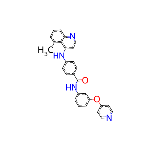 Cc1cccc2nccc(Nc3ccc(C(=O)Nc4cccc(Oc5ccncc5)c4)cc3)c12